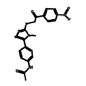 CC(=O)Nc1ccc(-c2nnc(SCC(=O)c3ccc([N+](=O)[O-])cc3)n2C)cc1